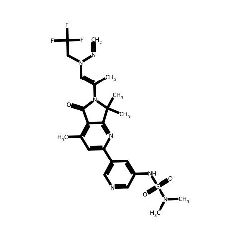 C=NN(/C=C(\C)N1C(=O)c2c(C)cc(-c3cncc(NS(=O)(=O)N(C)C)c3)nc2C1(C)C)CC(F)(F)F